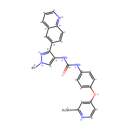 CC(=O)Nc1cc(Oc2ccc(NC(=O)Nc3cn(C(C)C)nc3-c3ccc4ncccc4c3)cc2)ccn1